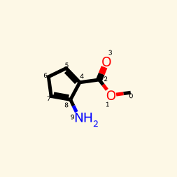 COC(=O)C1=CCC=C1N